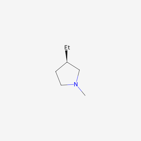 CC[C@@H]1CCN(C)C1